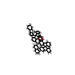 c1ccc2c(c1)-c1ccccc1C21c2ccccc2-c2c1cc(N(c1ccc3ccccc3c1)c1cccc3c1-c1ccccc1C31c3ccccc3-n3c4ccccc4c4cccc1c43)c1ccccc21